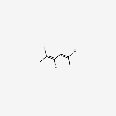 C/C(F)=C\C(F)=C(\C)I